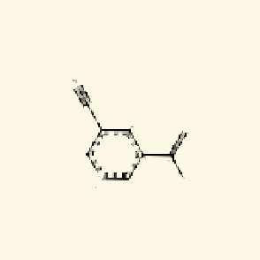 C=C(C)c1cncc(C#N)c1